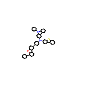 c1ccc(-c2cccc3c2oc2ccc(-c4ccc(N(c5ccc6c(c5)sc5ccccc56)c5ccc6c(c5)c5ccccc5n6-c5ccccc5)cc4)cc23)cc1